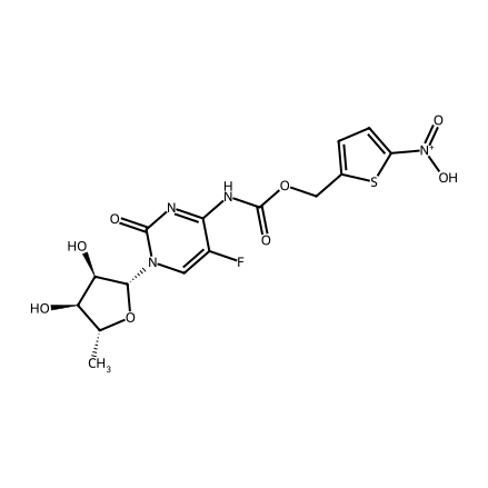 C[C@H]1O[C@@H](n2cc(F)c(NC(=O)OCc3ccc([N+](=O)O)s3)nc2=O)[C@H](O)[C@@H]1O